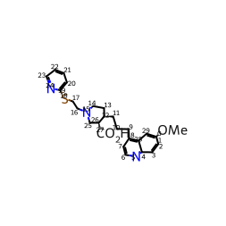 COc1ccc2nccc(CCC[C@@H]3CCN(CCSc4ccccn4)C[C@@H]3C(=O)O)c2c1